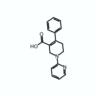 O=C(O)C1=C(c2ccccc2)CCN(c2ccccn2)C1